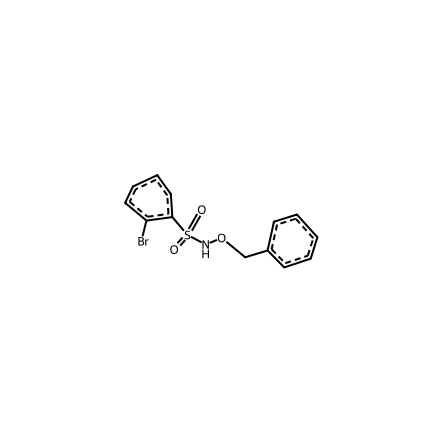 O=S(=O)(NOCc1ccccc1)c1ccccc1Br